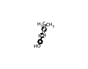 CC(C)N1CCN(c2cnc(-c3ccc(O)cc3)cn2)CC1